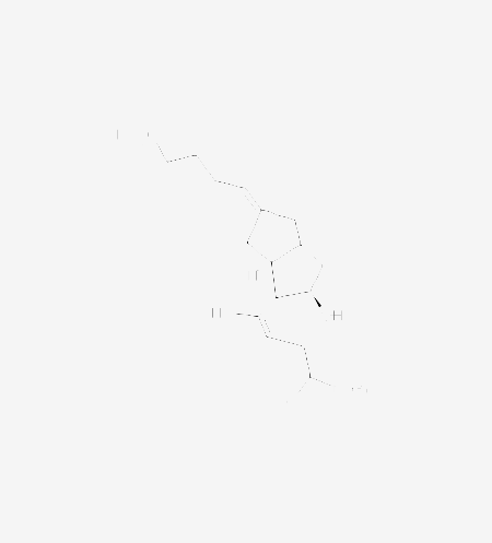 CCCCCC(C)C/C=C(/O)[C@@H]1[C@H]2C/C(=C\CCCC(=O)O)C[C@H]2C[C@H]1O